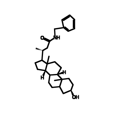 C[C@H](CC(=O)NCc1ccccc1)C1CC[C@H]2C3CCC4C[C@H](O)CCC4(C)[C@H]3CCC12C